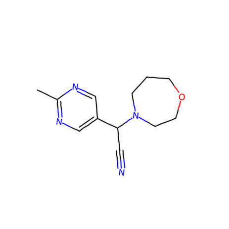 Cc1ncc(C(C#N)N2CCCOCC2)cn1